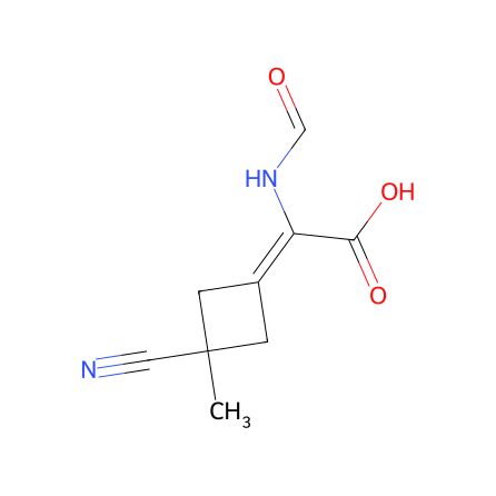 CC1(C#N)CC(=C(NC=O)C(=O)O)C1